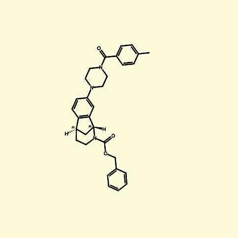 Cc1ccc(C(=O)N2CCN(c3ccc4c(c3)[C@H]3C[C@H]4CCN3C(=O)OCc3ccccc3)CC2)cc1